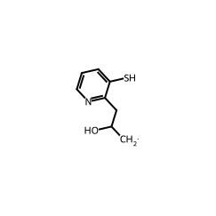 [CH2]C(O)Cc1ncccc1S